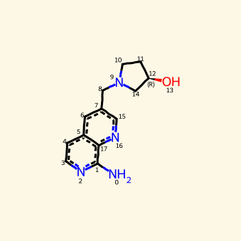 Nc1nccc2cc(CN3CC[C@@H](O)C3)cnc12